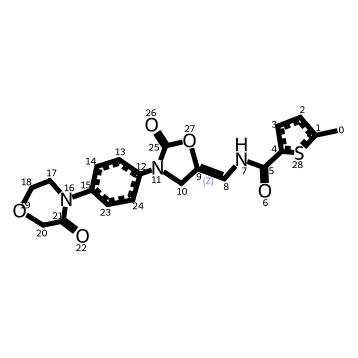 Cc1ccc(C(=O)N/C=C2/CN(c3ccc(N4CCOCC4=O)cc3)C(=O)O2)s1